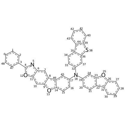 c1ccc(-c2nc3cc4c(cc3o2)oc2ccc(N(c3ccc5c(c3)oc3ccccc35)c3ccc5c(c3)sc3ccccc35)cc24)cc1